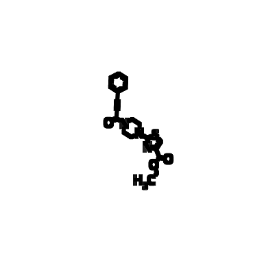 CCOC(=O)c1csc(N2CCN(C(=O)C#Cc3ccccc3)CC2)n1